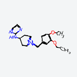 CCOc1cc(CN2CCC(Nc3ncccn3)CC2)ccc1OC